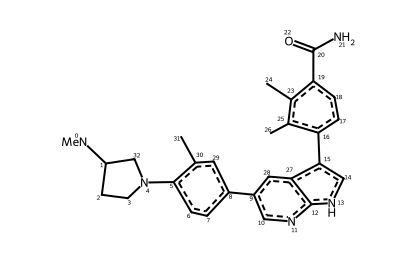 CNC1CCN(c2ccc(-c3cnc4[nH]cc(-c5ccc(C(N)=O)c(C)c5C)c4c3)cc2C)C1